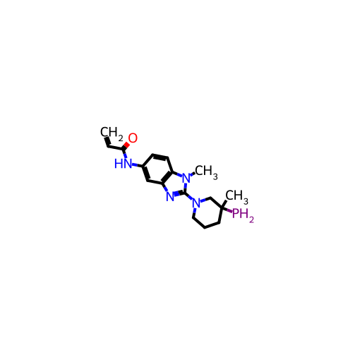 C=CC(=O)Nc1ccc2c(c1)nc(N1CCCC(C)(P)C1)n2C